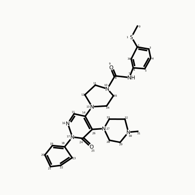 CSc1cccc(NC(=O)N2CCN(c3cnn(-c4ccccc4)c(=O)c3N3CCN(C)CC3)CC2)c1